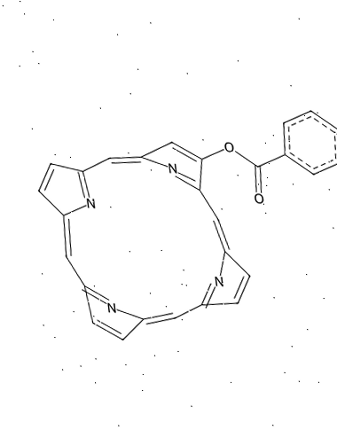 O=C(OC1=CC2=CC3=NC(=CC4=NC(=CC5=NC(=CC1=N2)C=C5)C=C4)C=C3)c1ccccc1